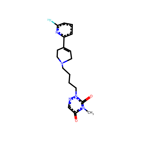 Cn1c(=O)cnn(CCCCN2CC=C(c3cccc([18F])n3)CC2)c1=O